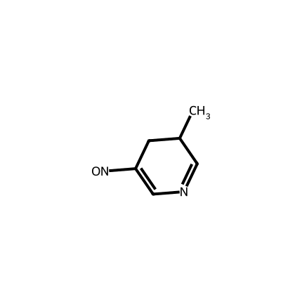 CC1C=NC=C(N=O)C1